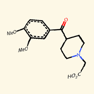 COc1ccc(C(=O)C2CCN(CC(=O)O)CC2)cc1OC